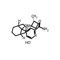 COC1(c2ccnc(C(N)=O)c2)[C@@H]2CCC[C@H]1CN([C@H]1CC[C@H]1C)C2.Cl